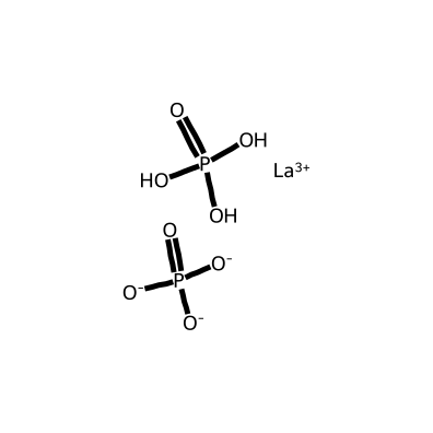 O=P(O)(O)O.O=P([O-])([O-])[O-].[La+3]